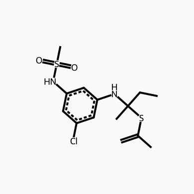 C=C(C)SC(C)(CC)Nc1cc(Cl)cc(NS(C)(=O)=O)c1